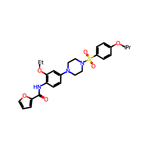 CCOc1cc(N2CCN(S(=O)(=O)c3ccc(OC(C)C)cc3)CC2)ccc1NC(=O)c1ccco1